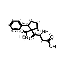 NC(=O)C1(C(=O)[C@@H](N)CC(=O)O)CCCC1c1ccccc1